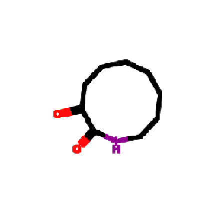 O=C1CCCCCCC[IH]C1=O